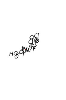 O=C(O)c1cc(F)c2c(c1)SCN2N1C2CCC1(COCc1c(-c3c(Cl)cccc3Cl)noc1C1CC1(F)F)CC(F)C2